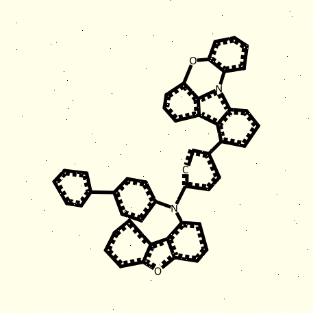 c1ccc(-c2ccc(N(c3ccc(-c4cccc5c4c4cccc6c4n5-c4ccccc4O6)cc3)c3cccc4oc5ccccc5c34)cc2)cc1